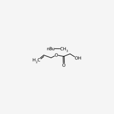 C=CCOC(=O)CO.CCCCC